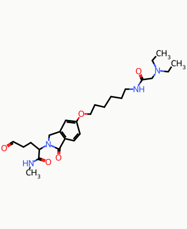 CCN(CC)CC(=O)NCCCCCCOc1ccc2c(c1)CN(C(CCC=O)C(=O)NC)C2=O